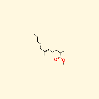 CCCCCC(C)=CCCC(C)C(=O)OC